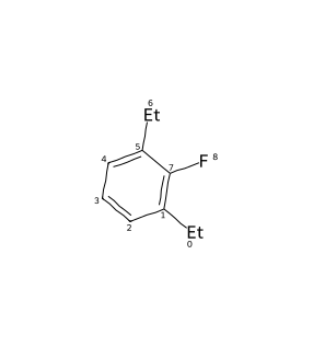 CCc1cccc(CC)c1F